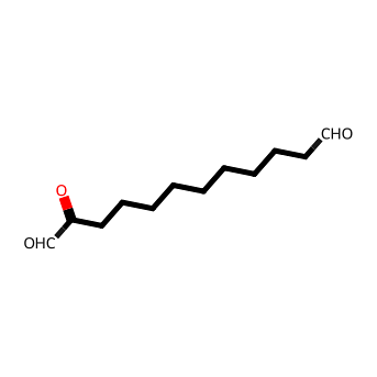 O=CCCCCCCCCCC(=O)C=O